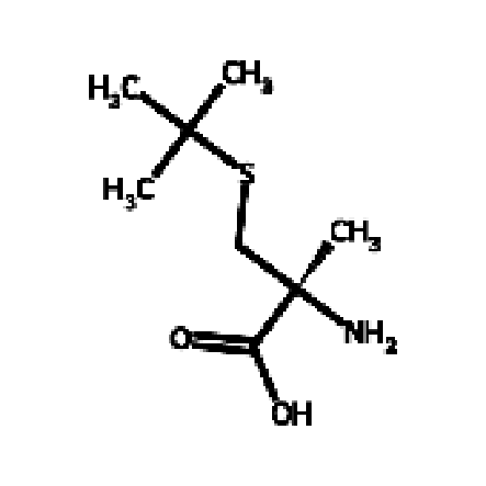 CC(C)(C)SC[C@@](C)(N)C(=O)O